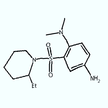 CCC1CCCCN1S(=O)(=O)c1cc(N)ccc1N(C)C